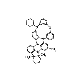 Cc1cc2c3c(c1)N1c4c(cccc4C4(C)CCCCC14C)B3c1ccc3cc1N2c1cccc(c1)Oc1cccc(c1)N3C1CCCCC1